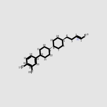 F/C=C/CC[C@H]1CC[C@H](C2CCC(c3ccc(F)c(F)c3)CC2)CC1